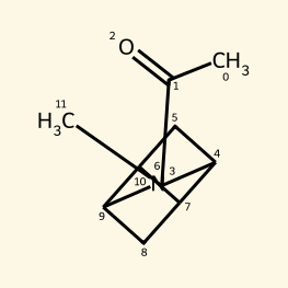 CC(=O)C1C2CC3C2CC3N1C